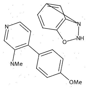 CNc1cnccc1-c1ccc(OC)cc1.c1cc2cc3c1o[nH]n2-3